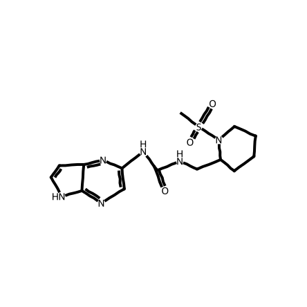 CS(=O)(=O)N1CCCCC1CNC(=O)Nc1cnc2[nH]ccc2n1